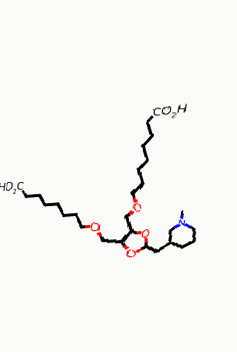 CN1CCCC(CC2OC(COCCCCCCCC(=O)O)C(COCCCCCCCC(=O)O)O2)C1